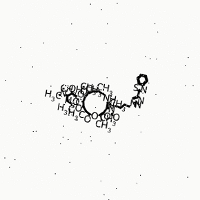 CC[C@H]1OC(=O)[C@H](C)C(=O)[C@@H](C)[C@@H](O[C@@H]2O[C@H](C)CC(N(C)C)C2O)[C@](C)(OC)C[C@@H](C)CN[C@H](C)[C@H]2N(CCCCn3cc(-c4nc5ccccc5s4)nn3)C(=O)O[C@]12C